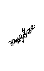 Cc1cc(C(=O)Nc2ccc(N3CCN(C4CCOCC4)CC3)c(C#N)c2)c(C)n1-c1ccc2c(c1)OCO2